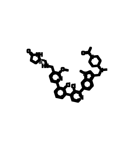 COc1nc(-c2cccc(-c3ccnc(-c4ccc5c(CN(C)C6CCN(C(C)=O)CC6)cn(C)c5c4)c3Cl)c2Cl)ccc1CNC[C@@H]1CCC(=O)N1